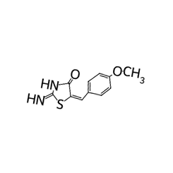 COc1ccc(C=C2SC(=N)NC2=O)cc1